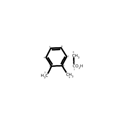 CC(=O)O.Cc1ccccc1C